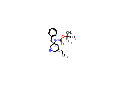 CC[C@@H]1CNC[C@](Cc2ccccc2)(NC(=O)OC(C)(C)C)C1